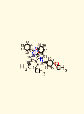 CCCCC(c1cnc(-c2ccccc2)n1CCCC)N(Cc1ccccc1)Cc1ccc(OC)cc1